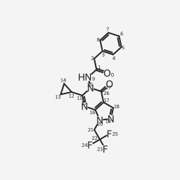 O=C(Cc1ccccc1)Nn1c(C2CC2)nc2c(cnn2CC(F)(F)F)c1=O